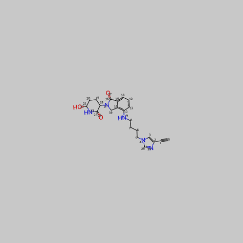 C#Cc1cn(CCCCNc2cccc3c2CN(C2CCC(O)NC2=O)C3=O)cn1